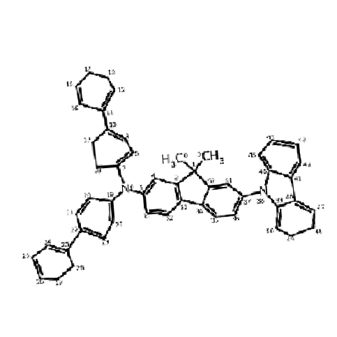 CC1(C)c2cc(N(C3=CC=C(C4=CCCC=C4)CC3)c3ccc(C4=CC=CCC4)cc3)ccc2-c2ccc(-n3c4c(c5ccccc53)=CCCC=4)cc21